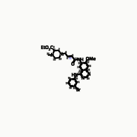 CCOC(=O)C1CN(C/C=C/C(=O)Nc2cc3c(Nc4cccc(Br)c4)ncnc3cc2OC)CCN1C